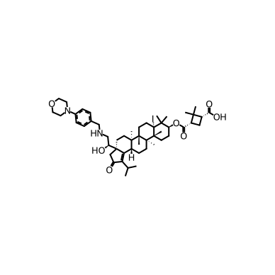 CC(C)C1=C2[C@H]3CC[C@]4(C)[C@@]5(C)CC[C@H](OC(=O)[C@H]6C[C@@H](C(=O)O)C6(C)C)C(C)(C)[C@]5(I)CC[C@@]4(C)[C@]3(C)CC[C@@]2([C@@H](O)CNCc2ccc(N3CCOCC3)cc2)CC1=O